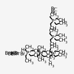 Br.Br.Br.CC[P+](CC)(CC)CC.CC[P+](CC)(CC)CC.CC[P+](CC)(CC)CC.CC[P+](CC)(CC)CC.CC[P+](CC)(CC)CC.[Br-].[Br-].[Br-].[Br-].[Br-]